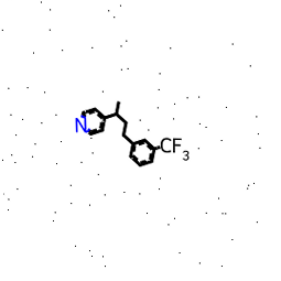 CC(CCc1cccc(C(F)(F)F)c1)c1ccncc1